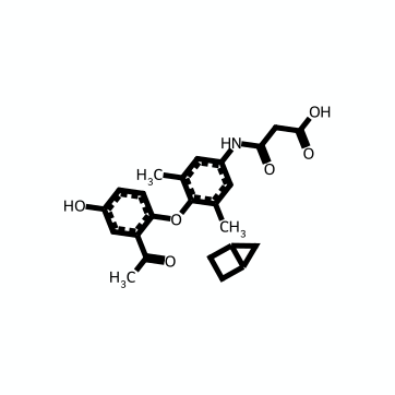 C1CC2CC12.CC(=O)c1cc(O)ccc1Oc1c(C)cc(NC(=O)CC(=O)O)cc1C